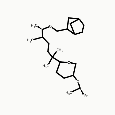 CC(C)[C@@H](C)OC1CCC(C(C)(C)CCC(C)[C@@H](C)OCC2CC3CCC2C3)CC1